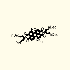 CCCCCCCCCCCCC(CCCCCCCCCCCC)N1C(=O)c2ccc3c4c([N+](=O)[O-])cc5c6c(ccc(c7c([N+](=O)[O-])cc(c2c37)C1=O)c64)C(=O)N(C(CCCCCCCCCCCC)CCCCCCCCCCCC)C5=O